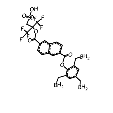 BCc1cc(CB)c(OC(=O)c2ccc3cc(C(=O)OC(CS(=O)(=O)O)(C(F)(F)F)C(F)(F)F)ccc3c2)c(CB)c1